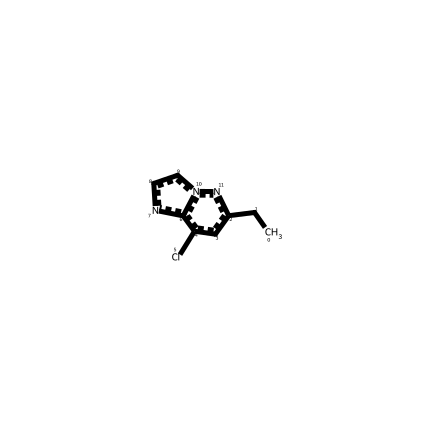 CCc1cc(Cl)c2nccn2n1